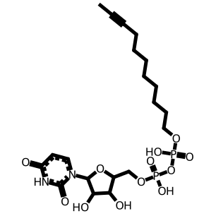 CC#CCCCCCCCCOP(=O)(O)OP(=O)(O)OCC1OC(n2ccc(=O)[nH]c2=O)C(O)C1O